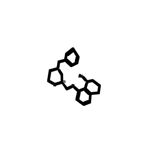 CC(=O)N1CCCc2cccc(OC[C@@H]3CN(Cc4ccccc4)CCO3)c21